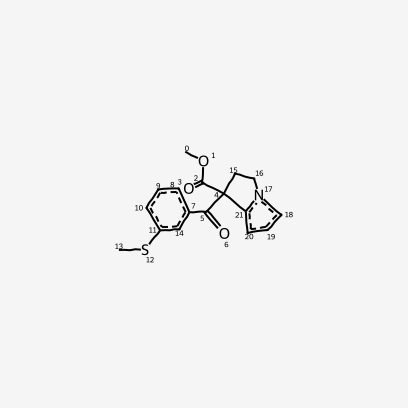 COC(=O)C1(C(=O)c2cccc(SC)c2)CCn2cccc21